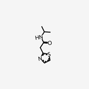 CC(C)NC(=O)Cc1nccs1